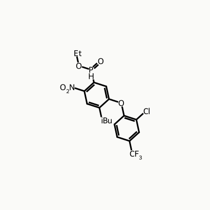 CCO[PH](=O)c1cc(Oc2ccc(C(F)(F)F)cc2Cl)c(C(C)CC)cc1[N+](=O)[O-]